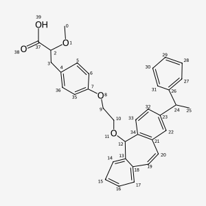 COC(Cc1ccc(OCCOC2c3ccccc3C=Cc3cc(C(C)c4ccccc4)ccc32)cc1)C(=O)O